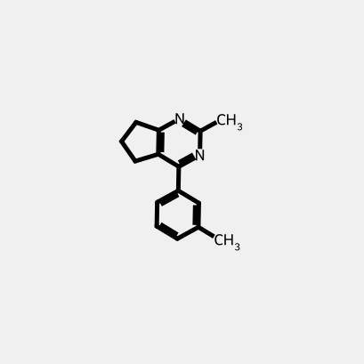 Cc1cccc(-c2nc(C)nc3c2CCC3)c1